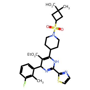 CCOC(=O)C1=C(C2CCN(S(=O)(=O)C3CC(C)(C(=O)O)C3)CC2)NC(c2nccs2)=NC1c1cccc(F)c1C